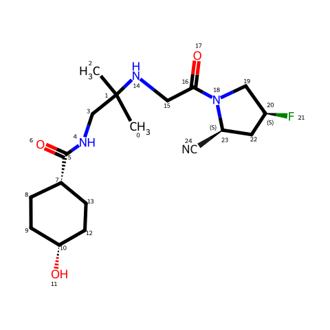 CC(C)(CNC(=O)[C@H]1CC[C@@H](O)CC1)NCC(=O)N1C[C@@H](F)C[C@H]1C#N